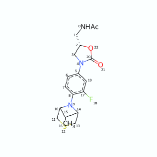 CC(=O)NC[C@H]1CN(c2ccc(N3C4CSCC3C4C)c(F)c2)C(=O)O1